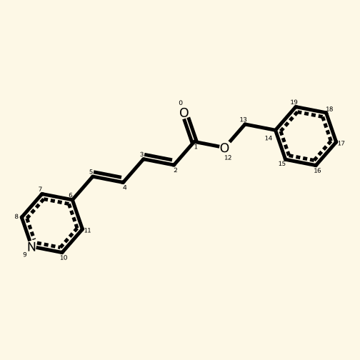 O=C(C=CC=Cc1ccncc1)OCc1ccccc1